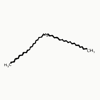 CCCCCCCCCCCCCCCCCCC[CH2][Mg][CH2]CCCCCCCCCCCCCCCCCCC